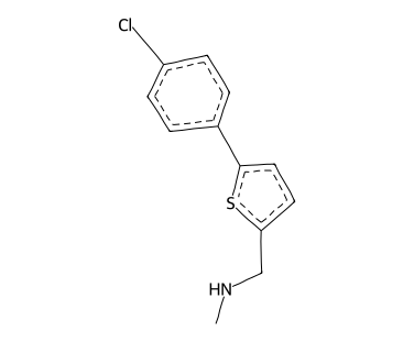 CNCc1ccc(-c2ccc(Cl)cc2)s1